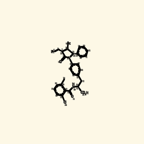 CC(=O)N1[C@H](CC(C)C)C(=O)N(c2ccc(C[C@H](NC(=O)c3c(C)cccc3Cl)C(=O)O)cc2)[C@H]1c1ccccc1